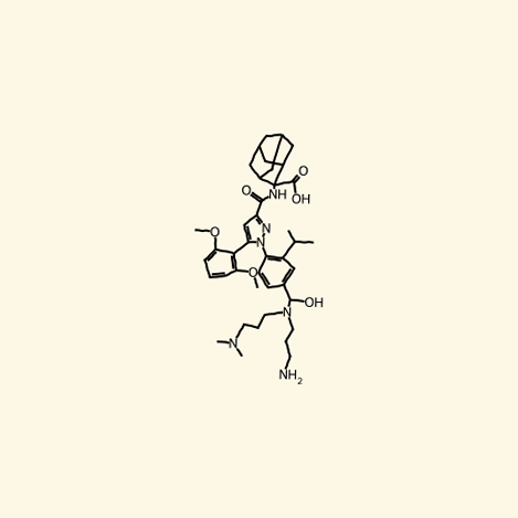 COc1cccc(OC)c1-c1cc(C(=O)NC2(C(=O)O)C3CC4CC(C3)CC2C4)nn1-c1ccc(C(O)N(CCCN)CCCN(C)C)cc1C(C)C